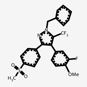 COc1ccc(-c2c(-c3ccc(S(C)(=O)=O)cc3)nn(Cc3ccccc3)c2C(F)(F)F)cc1F